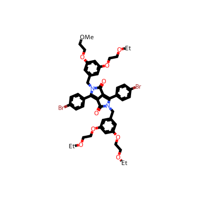 CCOCCOc1cc(CN2C(=O)C3=C(c4ccc(Br)cc4)N(Cc4cc(OCCOCC)cc(OCCOCC)c4)C(=O)C3=C2c2ccc(Br)cc2)cc(OCCOC)c1